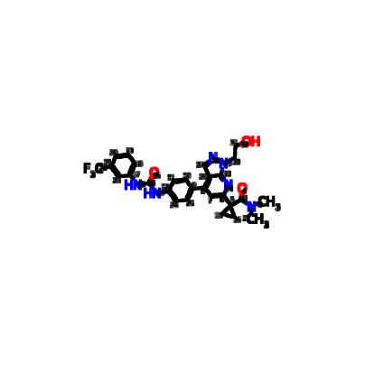 CN(C)C(=O)C1(c2cc(-c3ccc(NC(=O)Nc4cccc(C(F)(F)F)c4)cc3)c3cnn(CCO)c3n2)CC1